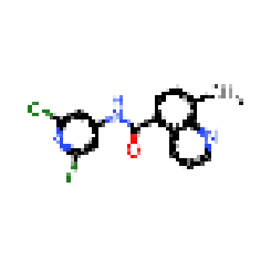 Cc1ccc(C(=O)Nc2cc(Cl)nc(Cl)c2)c2cccnc12